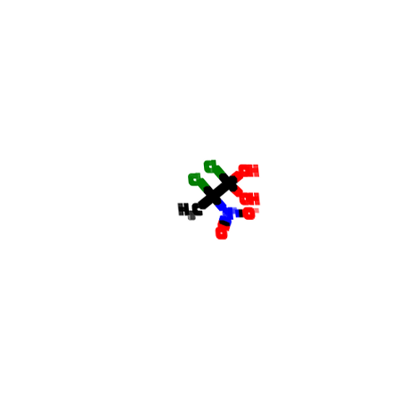 CC(Cl)([N+](=O)[O-])C(O)(O)Cl